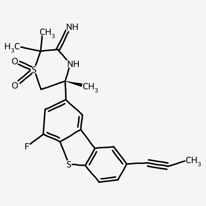 CC#Cc1ccc2sc3c(F)cc([C@]4(C)CS(=O)(=O)C(C)(C)C(=N)N4)cc3c2c1